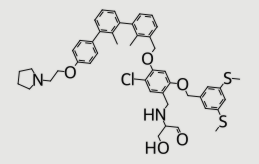 CSc1cc(COc2cc(OCc3cccc(-c4cccc(-c5ccc(OCCN6CCCC6)cc5)c4C)c3C)c(Cl)cc2CNC(C=O)CO)cc(SC)c1